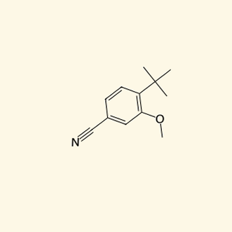 COc1cc(C#N)ccc1C(C)(C)C